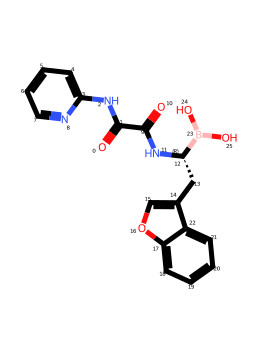 O=C(Nc1ccccn1)C(=O)N[C@@H](Cc1coc2ccccc12)B(O)O